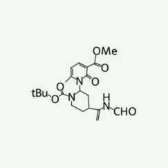 C=C(NC=O)C1CCN(C(=O)OC(C)(C)C)C(n2c(C)ccc(C(=O)OC)c2=O)C1